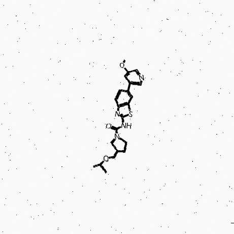 COc1cncc(-c2ccc3nc(NC(=O)N4CCC(COC(C)C)C4)sc3c2)c1